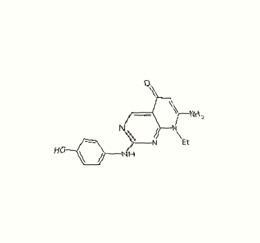 CCn1c(N)cc(=O)c2cnc(Nc3ccc(O)cc3)nc21